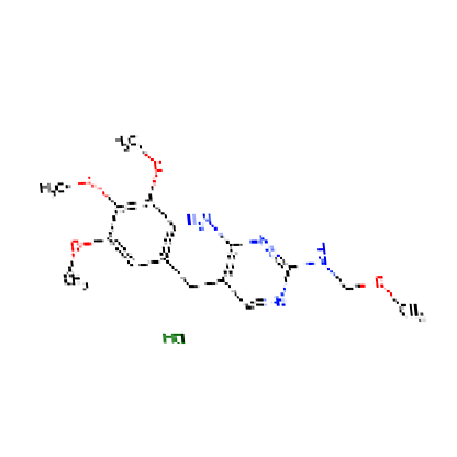 COCNc1ncc(Cc2cc(OC)c(OC)c(OC)c2)c(N)n1.Cl